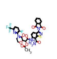 CC(=O)OC(C(=O)Nc1ccc2c(N3C(=O)c4ccccc4C3=O)nsc2c1C(N)=O)C1OCCN(c2nc(C(F)(F)F)ccc2F)C1=O